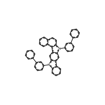 c1ccc(-c2cccc(-n3c4ccccc4c4cc5c(cc43)c3c4ccccc4ccc3n5-c3cccc(-c4ccccc4)c3)c2)cc1